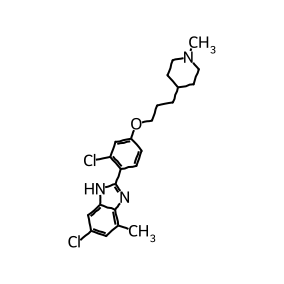 Cc1cc(Cl)cc2[nH]c(-c3ccc(OCCCC4CCN(C)CC4)cc3Cl)nc12